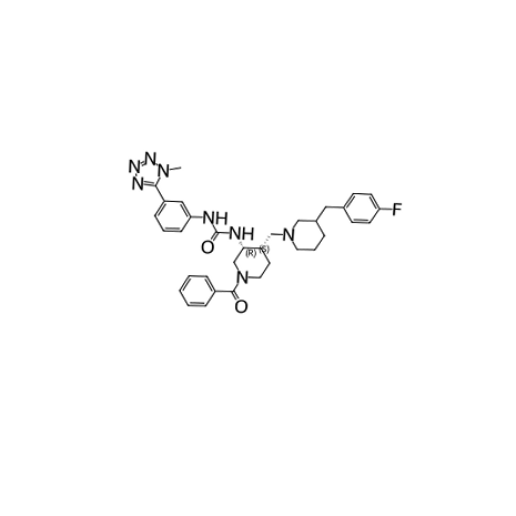 Cn1nnnc1-c1cccc(NC(=O)N[C@H]2CN(C(=O)c3ccccc3)CC[C@H]2CN2CCCC(Cc3ccc(F)cc3)C2)c1